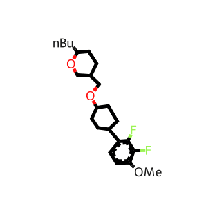 CCCCC1CCC(COC2CCC(c3ccc(OC)c(F)c3F)CC2)CO1